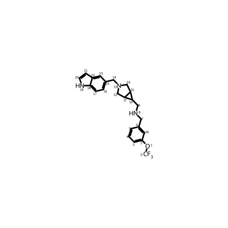 FC(F)(F)Oc1cccc(CNCC2C3CN(Cc4ccc5[nH]ccc5c4)CC23)c1